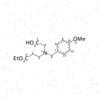 CCOC(=O)CCN(CC(=O)O)Cc1ccc(OC)cc1